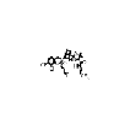 CC1(C)N=C(C23CCC2C(N(Cc2ccc(Cl)c(Cl)c2)S(=O)(=O)CCCF)C3)N[C@H]1C(=O)NCCC(F)(F)F